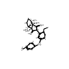 CCc1ccc(Oc2ccc(Cl)cc2)cc1C1C(=O)[C@@H]2[C@H](C1=O)[C@H]1CC[C@@H]2O1